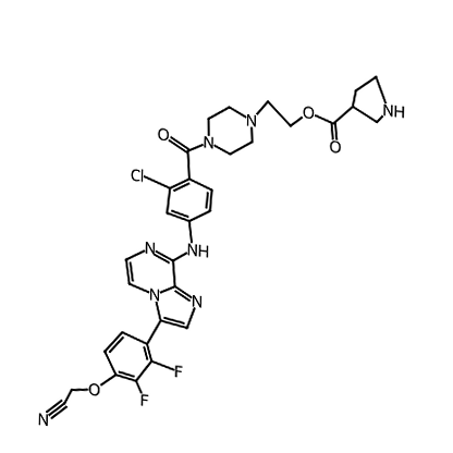 N#CCOc1ccc(-c2cnc3c(Nc4ccc(C(=O)N5CCN(CCOC(=O)C6CCNC6)CC5)c(Cl)c4)nccn23)c(F)c1F